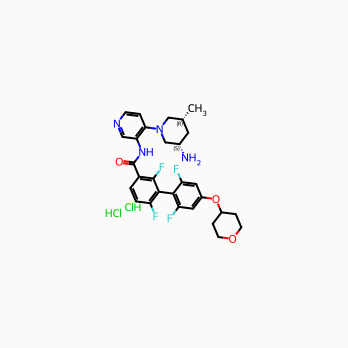 C[C@@H]1C[C@H](N)CN(c2ccncc2NC(=O)c2ccc(F)c(-c3c(F)cc(OC4CCOCC4)cc3F)c2F)C1.Cl.Cl